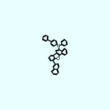 c1ccc(-c2ccc(N(c3ccccc3)c3cc4c5cccc(-c6ccc7ccccc7c6)c5oc4c4ccccc34)cc2)cc1